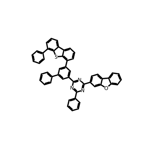 c1ccc(-c2cc(-c3nc(-c4ccccc4)nc(-c4ccc5c(c4)oc4ccccc45)n3)cc(-c3cccc4c3sc3c(-c5ccccc5)cccc34)c2)cc1